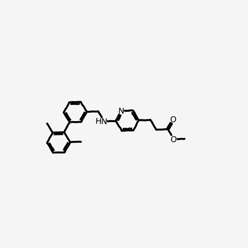 COC(=O)CCc1ccc(NCc2cccc(-c3c(C)cccc3C)c2)nc1